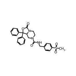 CS(=O)(=O)c1ccc(CNC(=O)N2CCN3C(=O)OC(c4ccccc4)(c4ccccc4)C3C2)cc1